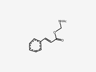 CC(=O)NCOC(=O)C=Cc1ccccc1